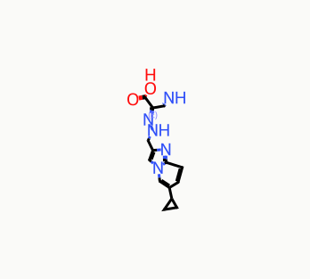 N=C/C(=N\NCc1cn2cc(C3CC3)ccc2n1)C(=O)O